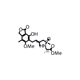 COC(=O)[C@H](C)NP(C)(=O)C/C(C)=C/Cc1c(O)c2c(c(C)c1OC)COC2=O